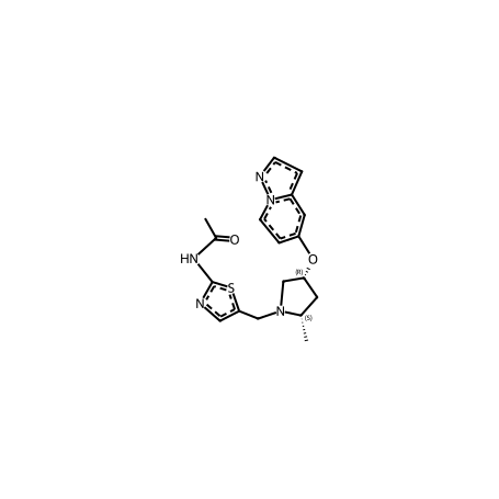 CC(=O)Nc1ncc(CN2C[C@H](Oc3ccn4nccc4c3)C[C@@H]2C)s1